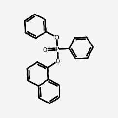 O=P(Oc1ccccc1)(Oc1cccc2ccccc12)c1ccccc1